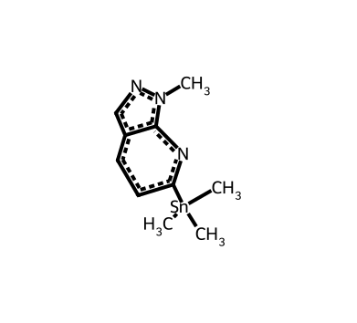 Cn1ncc2cc[c]([Sn]([CH3])([CH3])[CH3])nc21